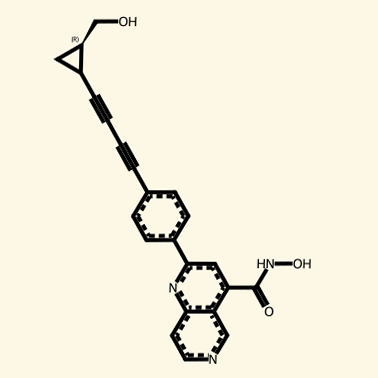 O=C(NO)c1cc(-c2ccc(C#CC#CC3C[C@H]3CO)cc2)nc2ccncc12